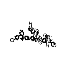 CC1(C)CCC(C2(N3CCN(c4ccc(C(=O)NS(=O)(=O)c5ccc(NCC6(F)CCOCC6)c([N+](=O)[O-])c5)c(N5CCOc6nc7[nH]ccc7cc65)c4)CC3)CC2)=C(c2ccc(Cl)cc2)C1